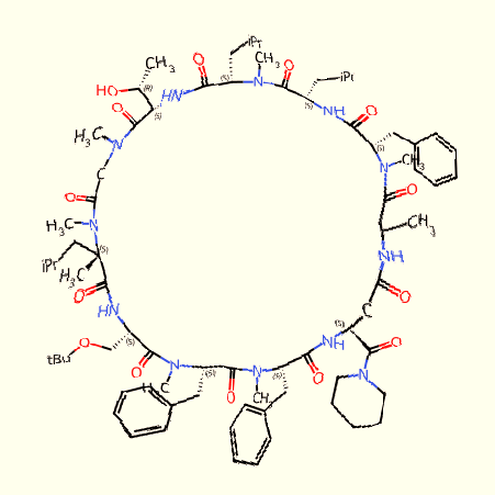 CC(C)C[C@@H]1NC(=O)[C@H](Cc2ccccc2)N(C)C(=O)C(C)NC(=O)C[C@@H](C(=O)N2CCCCC2)NC(=O)[C@H](Cc2ccccc2)N(C)C(=O)[C@H](Cc2ccccc2)N(C)C(=O)[C@H](COC(C)(C)C)NC(=O)[C@](C)(CC(C)C)N(C)C(=O)CN(C)C(=O)[C@H]([C@@H](C)O)NC(=O)[C@H](CC(C)C)N(C)C1=O